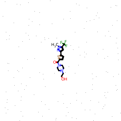 Cn1nc(-c2ccc(C(=O)N3CCN(CCO)CC3)s2)cc1C(F)(F)F